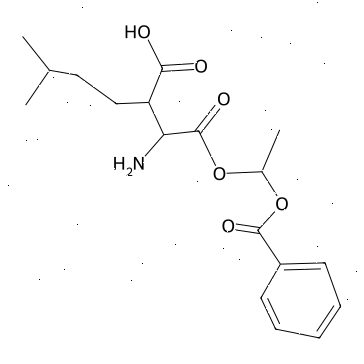 CC(C)CCC(C(=O)O)C(N)C(=O)OC(C)OC(=O)c1ccccc1